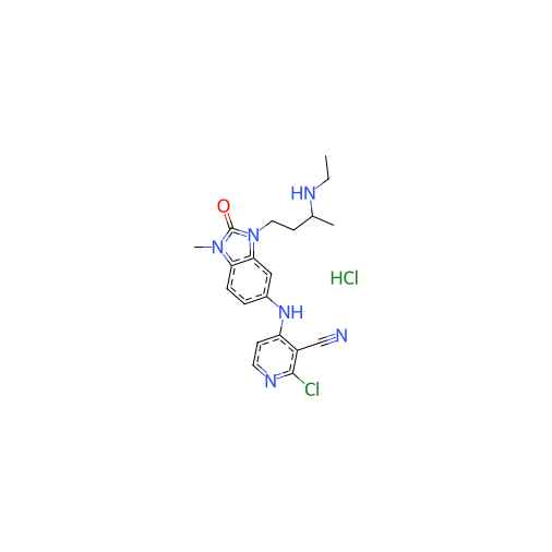 CCNC(C)CCn1c(=O)n(C)c2ccc(Nc3ccnc(Cl)c3C#N)cc21.Cl